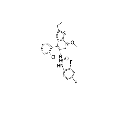 CCc1cc2c(s1)N(OC)CC(NC(=O)Nc1ccc(F)cc1F)=C2c1ccccc1Cl